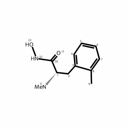 CN[C@@H](Cc1ccccc1C)C(=O)NO